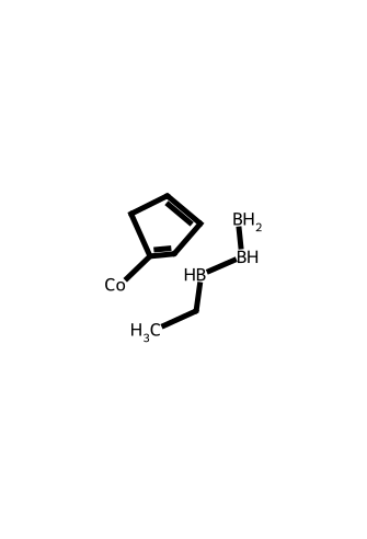 BBBCC.[Co][C]1=CC=CC1